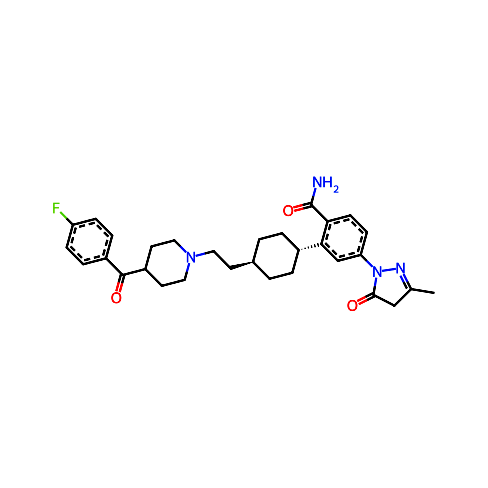 CC1=NN(c2ccc(C(N)=O)c([C@H]3CC[C@H](CCN4CCC(C(=O)c5ccc(F)cc5)CC4)CC3)c2)C(=O)C1